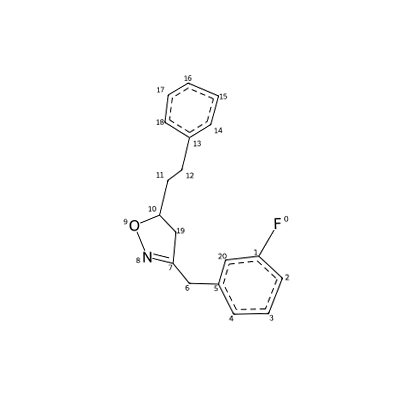 Fc1cccc(CC2=NOC(CCc3ccccc3)C2)c1